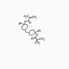 C=C(C)C(=O)OC1(C(C)C)CCC(CC2CCC(OC(=O)C(=C)C)(C(C)C)CC2)CC1